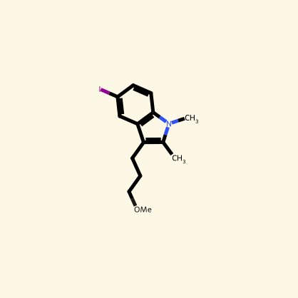 COCCCc1c(C)n(C)c2ccc(I)cc12